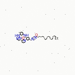 CC/C=C\C/C=C\C/C=C\C/C=C\C/C=C\CCCC(=O)N1CCN(Cc2ccc(C(=O)Nc3ccc(C)c(Nc4nccc(-c5cccnc5)n4)c3)cc2)CC1